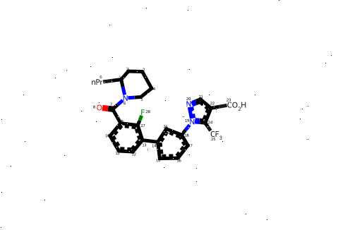 CCCC1CCCCN1C(=O)c1cccc(-c2cccc(-n3ncc(C(=O)O)c3C(F)(F)F)c2)c1F